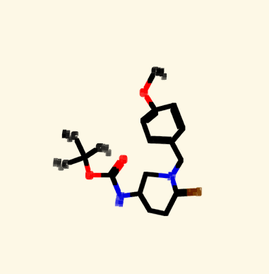 COc1ccc(CN2CC(NC(=O)OC(C)(C)C)CCC2=S)cc1